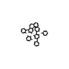 c1ccc(-n2c3ccccc3c3c4c5c(cc32)c2ccccc2n5-c2cccc3c2B4c2cc4c5ccccc5ccc4c4c5ccccc5n-3c24)cc1